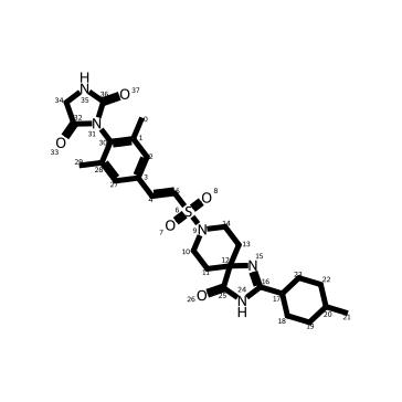 Cc1cc(C=CS(=O)(=O)N2CCC3(CC2)N=C(C2CCC(C)CC2)NC3=O)cc(C)c1N1C(=O)CNC1=O